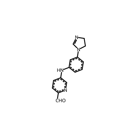 O=Cc1ccc(Nc2cccc(N3C=NCC3)c2)cn1